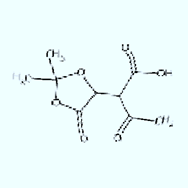 CC(=O)C(C(=O)O)C1OC(C)(C)OC1=O